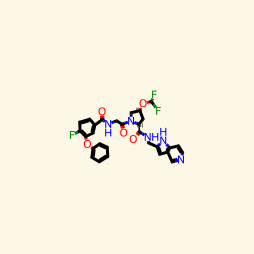 O=C(NCC(=O)N1C[C@H](OC(F)F)C[C@H]1C(=O)NCc1cc2cnccc2[nH]1)c1ccc(F)c(Oc2ccccc2)c1